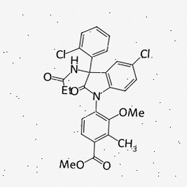 CCC(=O)NC1(c2ccccc2Cl)C(=O)N(c2ccc(C(=O)OC)c(C)c2OC)c2ccc(Cl)cc21